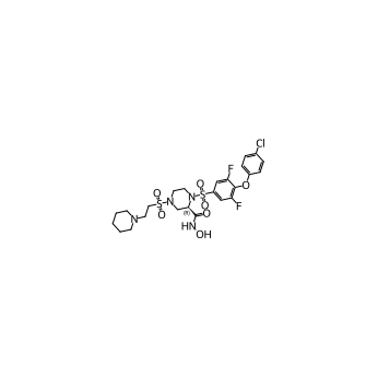 O=C(NO)[C@H]1CN(S(=O)(=O)CCN2CCCCC2)CCN1S(=O)(=O)c1cc(F)c(Oc2ccc(Cl)cc2)c(F)c1